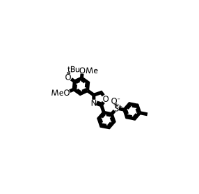 COc1cc(C2COC(c3ccccc3[S@@+]([O-])c3ccc(C)cc3)=N2)cc(OC)c1OC(C)(C)C